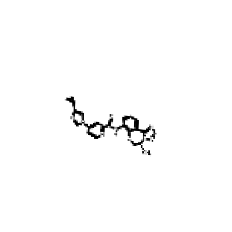 C[C@H]1COc2c(NC(=O)c3cc(-n4cnc(C5CC5)c4)ccn3)cccc2-c2nnnn21